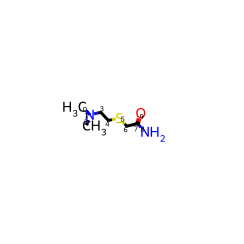 CN(C)CCSCC(N)=O